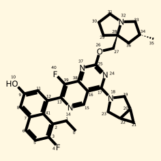 CCc1c(F)ccc2cc(O)cc(-c3ncc4c(N5CC6CC6C5)nc(OC[C@@]56CCCN5C[C@H](C)C6)nc4c3F)c12